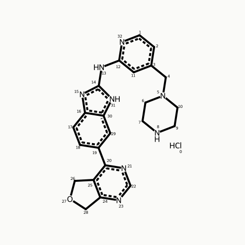 Cl.c1cc(CN2CCNCC2)cc(Nc2nc3ccc(-c4ncnc5c4COC5)cc3[nH]2)n1